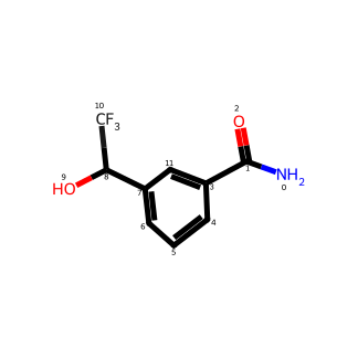 NC(=O)c1cccc(C(O)C(F)(F)F)c1